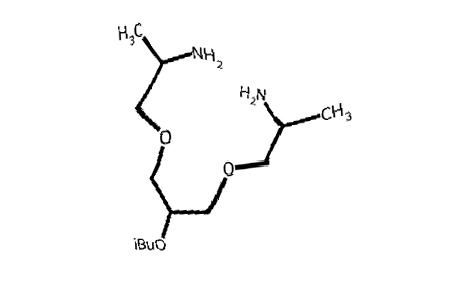 CC(C)COC(COCC(C)N)COCC(C)N